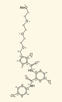 COCCOCCOCCOCc1csc(C(=O)Nc2ccc(Cl)cc2C(=O)Nc2ccc(Cl)cc2)c1Cl